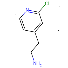 NCCc1ccnc(Cl)c1